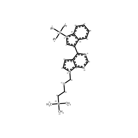 CC(C)[Si](C(C)C)(C(C)C)n1cc(-c2ncnc3c2ccn3COCC[Si](C)(C)C)c2ccccc21